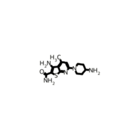 Cc1cc(N2CCC(N)CC2)nc2sc(C(N)=O)c(N)c12